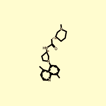 Cc1ccc(N2CC[C@@H](NC(=O)C[C@H]3CCCN(C)C3)C2)c2c(C)ccnc12